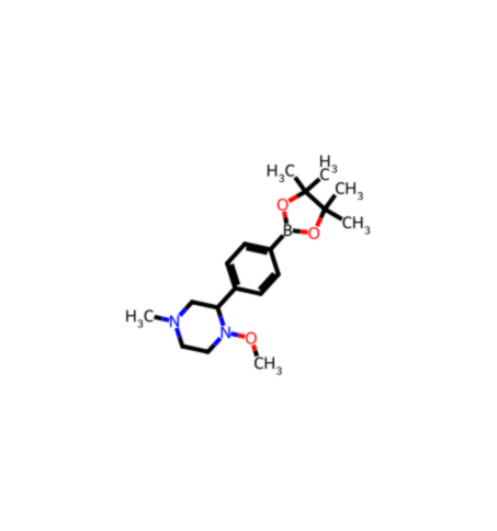 CON1CCN(C)CC1c1ccc(B2OC(C)(C)C(C)(C)O2)cc1